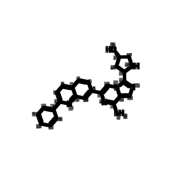 Nc1nc(-c2ccc3ccc(-c4ccccc4)nc3c2)cn2c(C3CC(O)CN3)ncc12